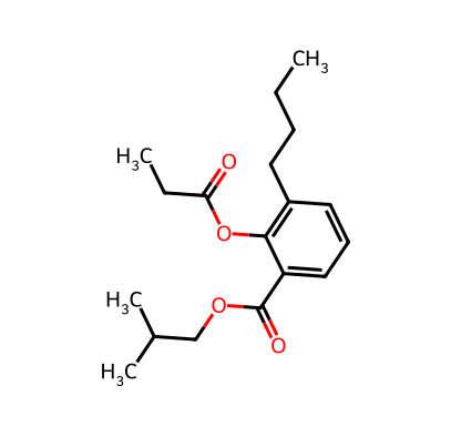 CCCCc1cccc(C(=O)OCC(C)C)c1OC(=O)CC